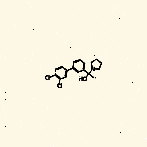 [CH2]C(O)(c1cccc(-c2ccc(Cl)c(Cl)c2)c1)N1CCCC1